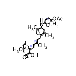 CC(=O)O[C@H](C)/C=C\C(=O)NC1C[C@H](C)[C@H](C/C=C(C)/C=C/[C@H]2O[C@](C)(CI)C[C@@]3(CO3)[C@@H]2O)O[C@@H]1C